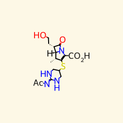 CC(=O)N=C1NCC(SC2=C(C(=O)O)N3C(=O)[C@@H](CCO)[C@H]3[C@H]2C)CN1